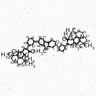 Cn1c2cc(-c3cccc(-c4cc5cc6c7c(c5oc4=O)C(C)(C)CCN7CCC6(C)C)c3)ccc2c2ccc(-c3cccc(-c4cc5cc6c7c(c5oc4=O)C(C)(C)CCN7CCC6(C)C)c3)cc21